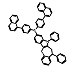 c1ccc(C2Cc3c(c4ccc(N(c5ccc(-c6cccc7ccccc67)cc5)c5ccc(-c6cccc7ccccc67)cc5)cc4n3-c3ccccc3)Sc3ccccc32)cc1